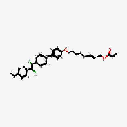 C=CC(=O)OC/C=C/CCCCCOc1ccc(C2CCC(/C(F)=C(\F)C3CCC(CC)CC3)CC2)cc1